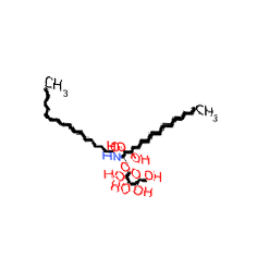 CCCCC\C=C/C=C/C=C/CCCCCCC(=O)N[C@@H](COC1OC(CO)C(O)C(O)C1O)[C@H](O)[C@H](O)CCCCCCCCCCCCCC